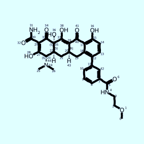 COCCNC(=O)c1cccc(-c2ccc(O)c3c2C[C@H]2C[C@H]4[C@H](N(C)C)C(O)=C(C(N)=O)C(=O)[C@@]4(O)C(O)=C2C3=O)c1